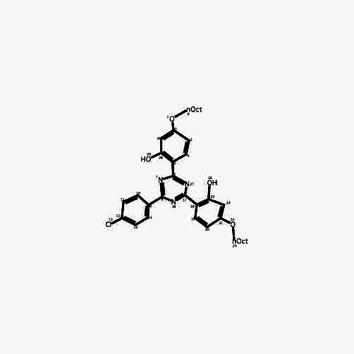 CCCCCCCCOc1ccc(-c2nc(-c3ccc(Cl)cc3)nc(-c3ccc(OCCCCCCCC)cc3O)n2)c(O)c1